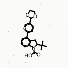 CC(C)(C)C1Cc2c(-c3ccc(C4OCCO4)cn3)cccc2N1C(=O)O